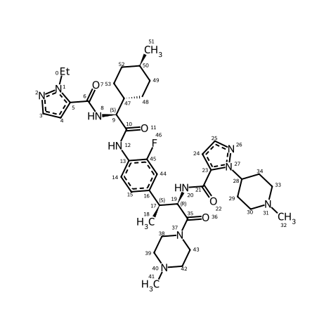 CCn1nccc1C(=O)N[C@H](C(=O)Nc1ccc([C@H](C)[C@@H](NC(=O)c2ccnn2C2CCN(C)CC2)C(=O)N2CCN(C)CC2)cc1F)[C@H]1CC[C@H](C)CC1